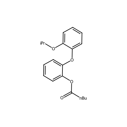 CCCCC(=O)Oc1ccccc1Oc1ccccc1OC(C)C